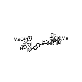 COC(=O)N[C@H](C(=O)N1[C@H](C)[C@H](C)C[C@H]1c1ncc(C#Cc2ccc3cc(-c4cnc([C@@H]5C[C@H]6C[C@H]6N5C(=O)[C@@H](NC(=O)OC)C5CCOCC5)[nH]4)ccc3c2)[nH]1)C(C)C